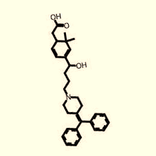 CC1(C)C=C(C(O)CCCN2CCC(=C(c3ccccc3)c3ccccc3)CC2)C=CC1CC(=O)O